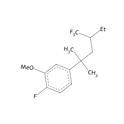 CCC(CC(C)(C)c1ccc(F)c(OC)c1)C(F)(F)F